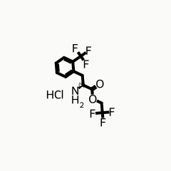 Cl.N[C@@H](Cc1ccccc1C(F)(F)F)C(=O)OCC(F)(F)F